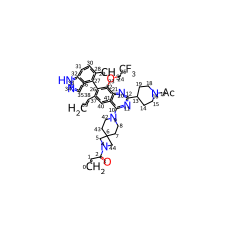 C=CC(=O)N1CC2(CCN(c3nc(C4CCN(C(C)=O)CC4)nc4c(OCC(F)(F)F)c(-c5c(C)ccc6[nH]ncc56)c(C=C)cc34)CC2)C1